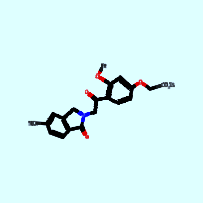 CCOC(=O)COc1ccc(C(=O)CN2Cc3cc(C#N)ccc3C2=O)c(OCC)c1